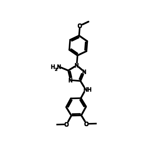 COc1ccc(-n2nc(Nc3ccc(OC)c(OC)c3)nc2N)cc1